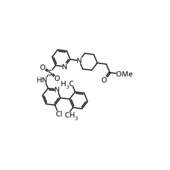 COC(=O)CC1CCN(c2cccc(S(=O)(=O)Nc3ccc(Cl)c(-c4c(C)cccc4C)n3)n2)CC1